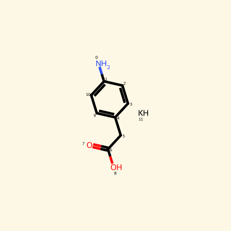 Nc1ccc(CC(=O)O)cc1.[KH]